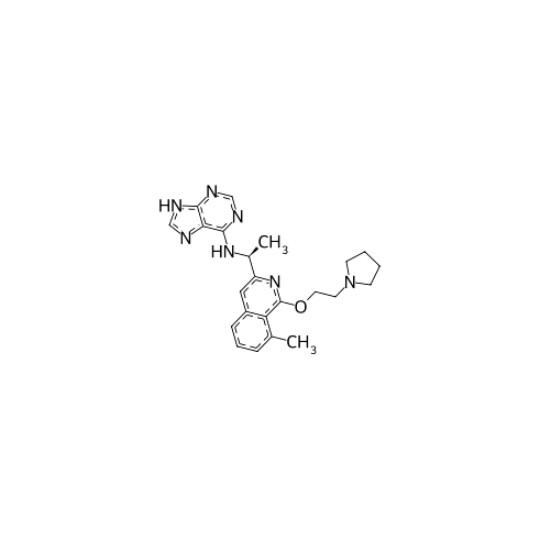 Cc1cccc2cc([C@H](C)Nc3ncnc4[nH]cnc34)nc(OCCN3CCCC3)c12